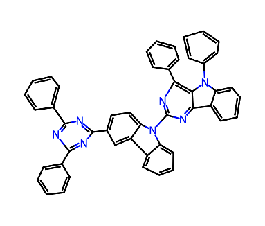 c1ccc(-c2nc(-c3ccccc3)nc(-c3ccc4c(c3)c3ccccc3n4-c3nc(-c4ccccc4)c4c(n3)c3ccccc3n4-c3ccccc3)n2)cc1